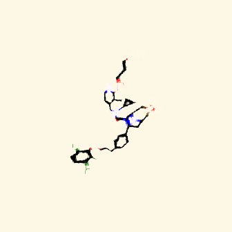 Cc1c(CN(C(=O)C2=C(c3ccc(CCCOc4c(F)ccc(F)c4Cl)cc3)CC3CS(=O)(=O)CC2N3)C2CC2)ccnc1OCCCO